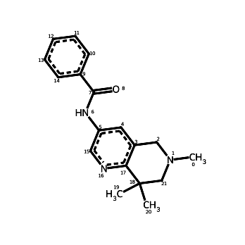 CN1Cc2cc(NC(=O)c3ccccc3)cnc2C(C)(C)C1